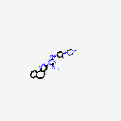 CN1CCN(c2ccc(Nc3nc(N)n(-c4cc5c(nn4)-c4ccccc4CCC5)n3)cc2F)CC1